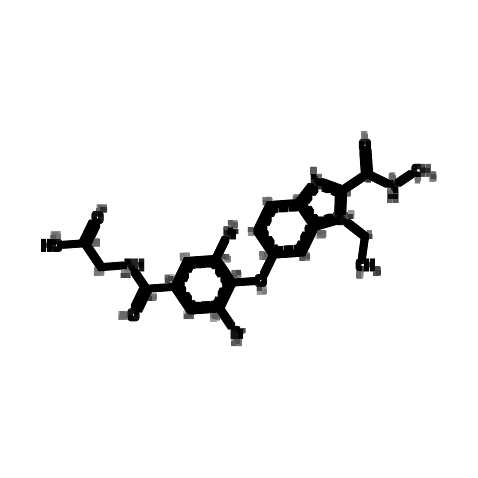 CCn1c(C(=O)NC)nc2ccc(Oc3c(Br)cc(C(=O)NCC(=O)O)cc3Br)cc21